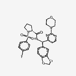 O=C(NC(c1ccc2c(c1)OCO2)c1ccnc(N2CCOCC2)n1)[C@@H]1CCCN1S(=O)(=O)c1ccc(F)cc1